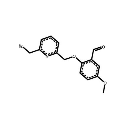 COc1ccc(OCc2cccc(CBr)n2)c(C=O)c1